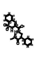 CN(C)C(=O)C(CNC(=O)C1=Nc2ccccc2S(=O)(=O)N1)c1ccccc1